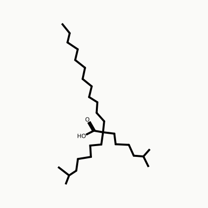 CCCCCCCCCCCCC(CCCCCC(C)C)(CCCCC(C)C)C(=O)O